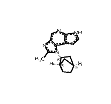 Cc1nc2cnc3[nH]ccc3c2n1[C@@H]1C[C@H]2CC[C@@H]1C2